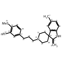 C=C1Nc2ccc(C)cc2C12CCN(CCCc1ccc(SC)c(CCC)c1)CC2